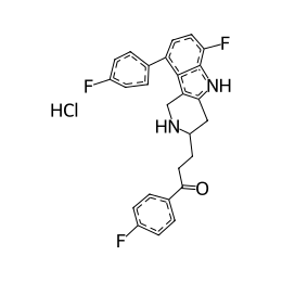 Cl.O=C(CCC1Cc2[nH]c3c(F)ccc(-c4ccc(F)cc4)c3c2CN1)c1ccc(F)cc1